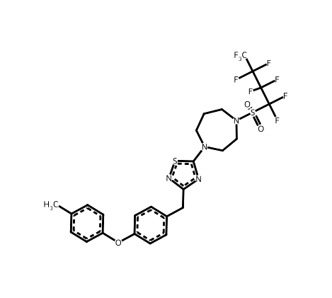 Cc1ccc(Oc2ccc(Cc3nsc(N4CCCN(S(=O)(=O)C(F)(F)C(F)(F)C(F)(F)C(F)(F)F)CC4)n3)cc2)cc1